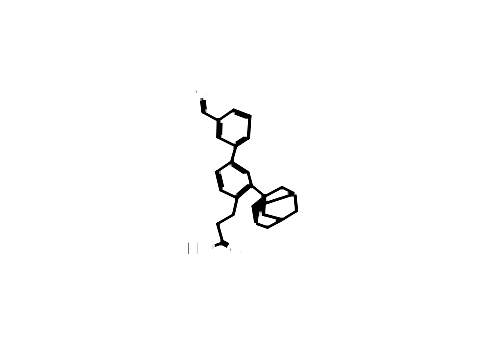 O=Cc1cccc(-c2ccc(CCC(=O)O)c(C34CC5CC(CC(C5)C3)C4)c2)c1